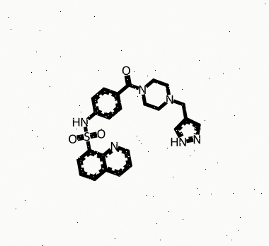 O=C(c1ccc(NS(=O)(=O)c2cccc3cccnc23)cc1)N1CCN(Cc2cn[nH]c2)CC1